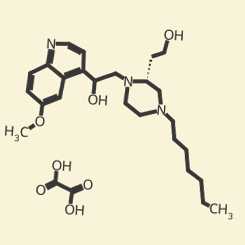 CCCCCCCN1CCN(CC(O)c2ccnc3ccc(OC)cc23)[C@H](CCO)C1.O=C(O)C(=O)O